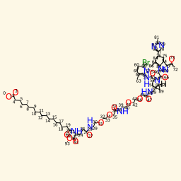 COC(=O)CCCCCCCCCCCCCCCCC(=O)N[C@@H](CCC(=O)NCCOCCOCC(=O)NCCOCCOCC(=O)NC[C@@]12C[C@@H](C(=O)Nc3nc(Br)ccc3C)N(C(=O)Cn3nc(C(C)=O)c4cc(-c5cnc(C)nc5)cc(C)c43)[C@@H]1C2)C(=O)OC